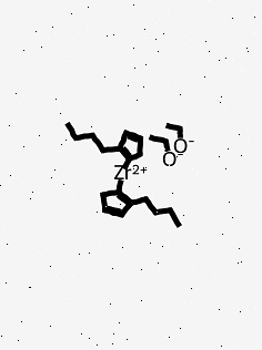 CCCCC1=[C]([Zr+2][C]2=C(CCCC)C=CC2)CC=C1.CC[O-].CC[O-]